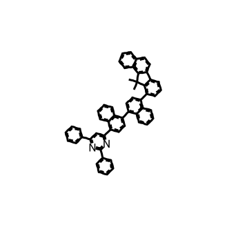 CC1(C)c2c(cccc2-c2ccc(-c3ccc(-c4cc(-c5ccccc5)nc(-c5ccccc5)n4)c4ccccc34)c3ccccc23)-c2ccc3ccccc3c21